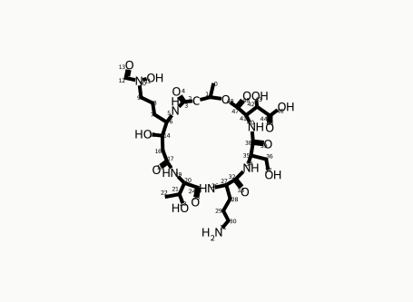 CC1CC(=O)NC(CCCN(O)C=O)C(O)CC(=O)NC(C(C)O)C(=O)NC(CCCN)C(=O)NC(CO)C(=O)NC(C(O)C(=O)O)C(=O)O1